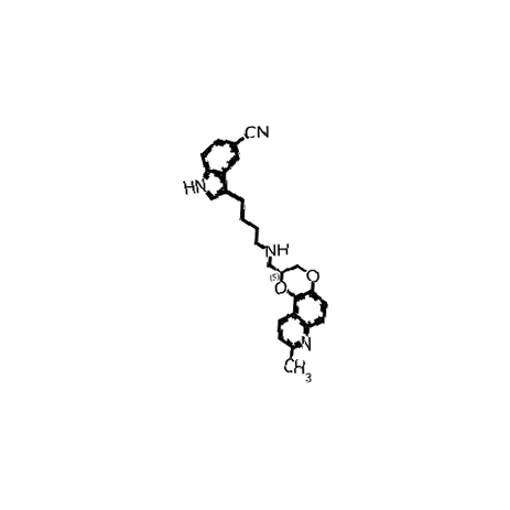 Cc1ccc2c3c(ccc2n1)OC[C@H](CNCCCCc1c[nH]c2ccc(C#N)cc12)O3